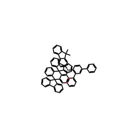 CC1(C)c2ccccc2-c2ccc(N(c3ccc(-c4ccccc4)cc3-c3ccccc3)c3cccc4c3C3(c5ccccc5-c5ccccc53)c3ccccc3C43c4ccccc4-c4ccccc43)cc21